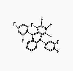 Fc1ccc(-c2c3ccccc3c(-c3ccc(F)c(F)c3)c3c(F)c(F)c(F)c(F)c23)c(F)c1